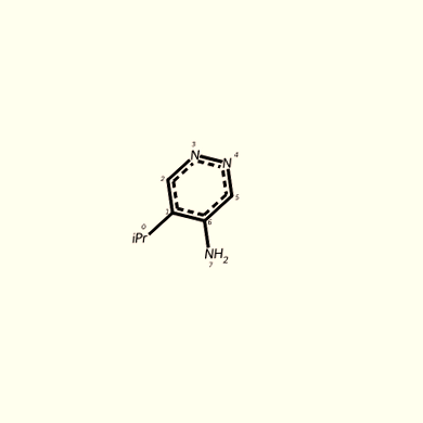 CC(C)c1cnncc1N